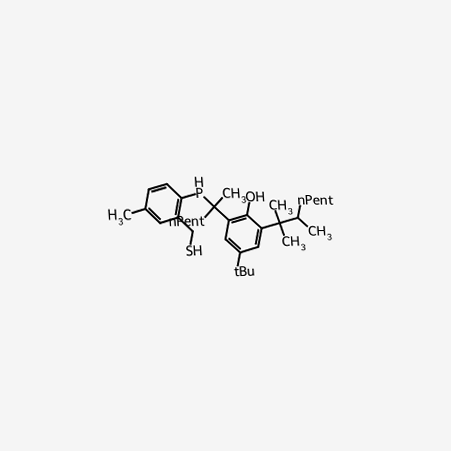 CCCCCC(C)C(C)(C)c1cc(C(C)(C)C)cc(C(C)(CCCCC)Pc2ccc(C)cc2CS)c1O